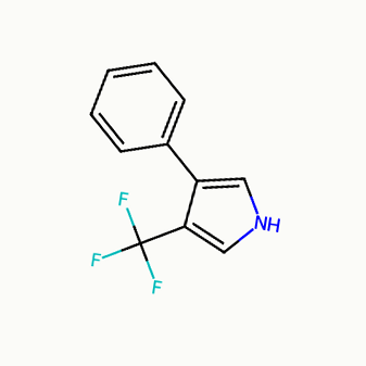 FC(F)(F)c1c[nH]cc1-c1ccccc1